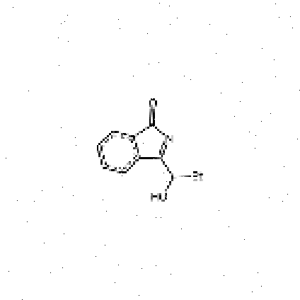 CCC(O)C1=NC(=O)c2ccccc21